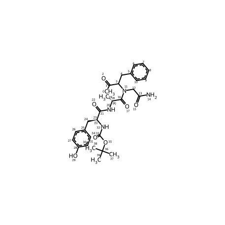 CC(=O)C(Cc1ccccc1)N(CC(N)=O)C(=O)[C@@H](C)NC(=O)[C@H](Cc1ccc(O)cc1)NC(=O)OC(C)(C)C